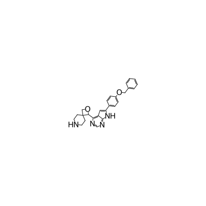 c1ccc(COc2ccc(-c3cc4c(C5OCC56CCNCC6)ncnc4[nH]3)cc2)cc1